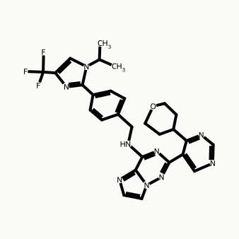 CC(C)n1cc(C(F)(F)F)nc1-c1ccc(CNc2nc(-c3cncnc3C3CCOCC3)nn3ccnc23)cc1